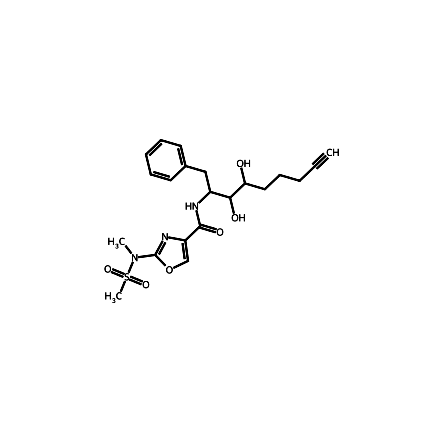 C#CCCCC(O)C(O)C(Cc1ccccc1)NC(=O)c1coc(N(C)S(C)(=O)=O)n1